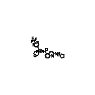 O=C(NCC(c1cnc(C(F)(F)F)nc1)N1CCOCC1)c1cccc2nc(NCC3CCCC3)ccc12